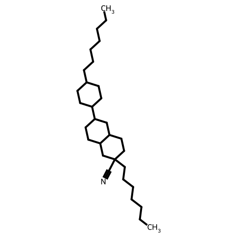 CCCCCCCC1CCC(C2CCC3CC(C#N)(CCCCCCC)CCC3C2)CC1